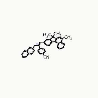 Cc1cc2c(c3ccccc13)-c1ccc(/C=C(/Cc3ccc4ccccc4c3)c3ccc(C#N)cc3)cc1C2(C)C